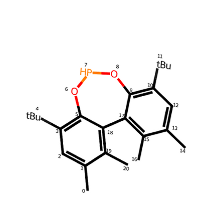 Cc1cc(C(C)(C)C)c2o[pH]oc3c(C(C)(C)C)cc(C)c(C)c3c2c1C